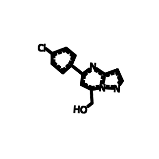 OCc1cc(-c2ccc(Cl)cc2)nc2ccnn12